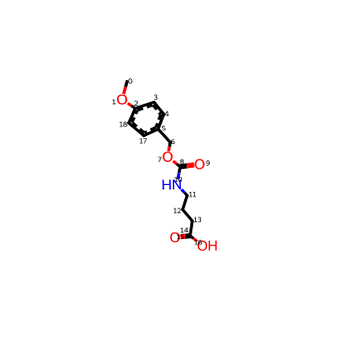 COc1ccc(COC(=O)NCCCC(=O)O)cc1